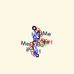 CC[C@H](C)[C@@H]([C@@H](CC(=O)N1CCC[C@H]1[C@H](OC)[C@@H](C)C(=O)N[C@@H](Cc1ccccc1)C(=O)OC)OC)N(C)C(=O)[C@@H](NC(=O)[C@]1(C)CCCN1C)C(C)C.O=C(O)C(F)(F)F